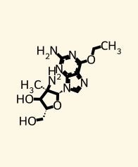 CCOc1nc(N)nc2c1ncn2[C@@H]1O[C@H](CO)C(O)[C@@]1(C)N